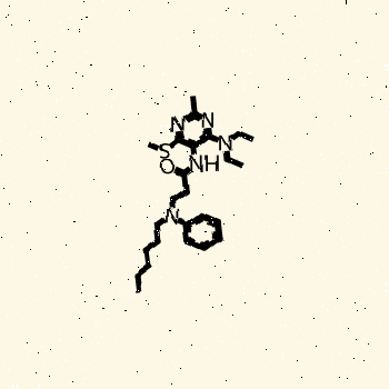 CCCCCCN(CCC(=O)Nc1c(SC)nc(C)nc1N(CC)CC)c1ccccc1